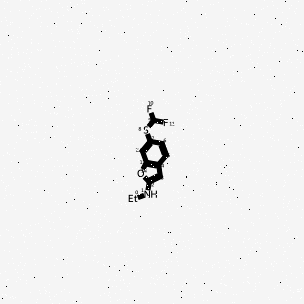 CCNc1cc2ccc(SC(F)F)cc2o1